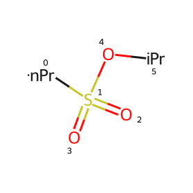 CC[CH]S(=O)(=O)OC(C)C